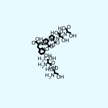 C[C@@H](O)[C@H](N)C(=O)O.N[C@@H](CO)C(=O)O.N[C@@H](CO)C(=O)O.N[C@@H](CO)C(=O)O.N[C@@H](Cc1ccc(O)cc1)C(=O)O.O=C(O)[C@@H]1CCCN1.O=C(O)[C@@H]1CCCN1